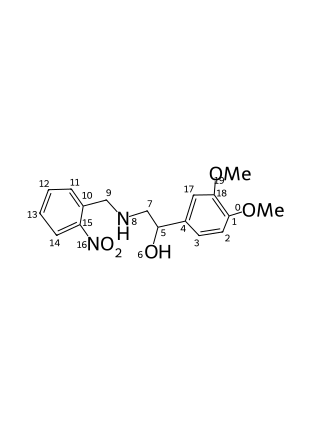 COc1ccc(C(O)CNCc2ccccc2[N+](=O)[O-])cc1OC